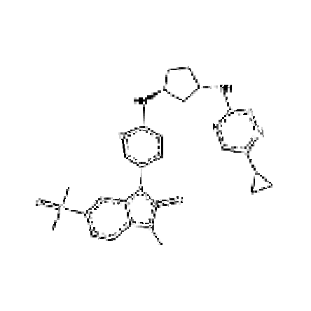 Cn1c(=O)n(-c2ccc(N[C@H]3CC[C@H](Nc4ncc(C5CC5)nn4)C3)nc2)c2cc(P(C)(C)=O)ccc21